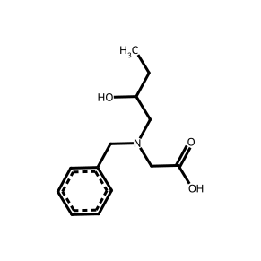 CCC(O)CN(CC(=O)O)Cc1ccccc1